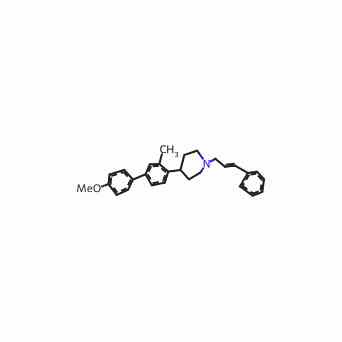 COc1ccc(-c2ccc(C3CCN(CC=Cc4ccccc4)CC3)c(C)c2)cc1